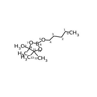 CCCCCOB1OC(C)(C)C(C)(C)O1